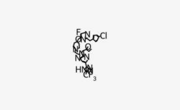 Fc1cnc(Cc2ccc(Cl)cc2)nc1OC1CCN(Cc2nc3cc(-c4nnc(C(F)(F)F)[nH]4)cnc3n2CC2CCO2)CC1